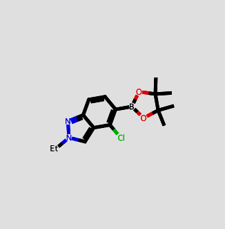 CCn1cc2c(Cl)c(B3OC(C)(C)C(C)(C)O3)ccc2n1